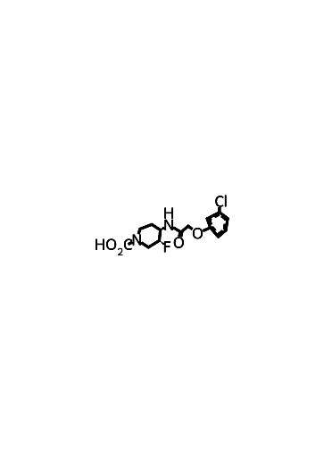 O=C(COc1cccc(Cl)c1)N[C@@H]1CCN(C(=O)O)C[C@H]1F